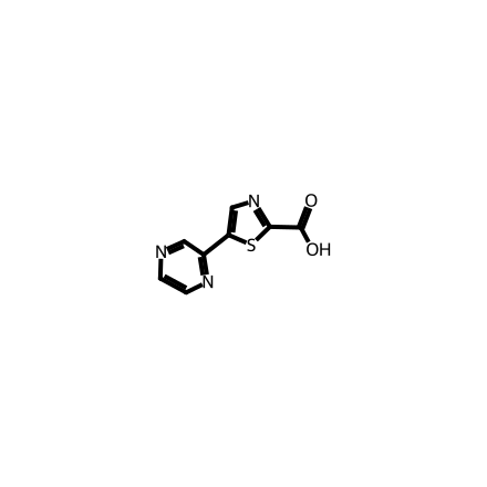 O=C(O)c1ncc(-c2cnccn2)s1